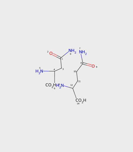 NC(=O)CC(N)C(=O)O.NC(=O)CCC(N)C(=O)O